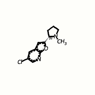 CN1CCC[C@H]1c1cc2cc(Cl)cnc2o1